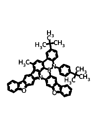 Cc1cc2c3c4c1c1cc5c(cc1n4-c1cc4oc6ccccc6c4cc1B3N(c1ccc(C(C)(C)C)cc1)c1ccc(C(C)(C)C)cc1-2)oc1ccccc15